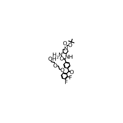 CC(C)(C)OC(=O)N1C[C@@H](N)[C@H](NC(=O)c2ccc(C(=O)c3c(OCCOCCO)ccc(F)c3F)cc2)C1